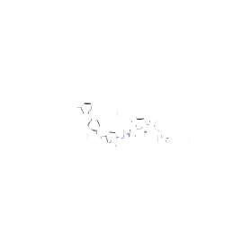 Cc1cc(NCCNCCO)nc(N/N=C/c2ccc(Nc3ccc(-c4cccc(O)c4)cc3)cn2)n1